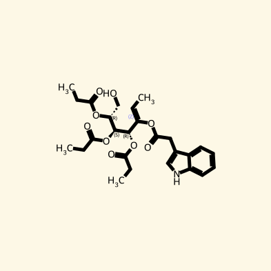 C/C=C(\OC(=O)Cc1c[nH]c2ccccc12)[C@H](OC(=O)CC)[C@@H](OC(=O)CC)[C@@H](CO)OC(=O)CC